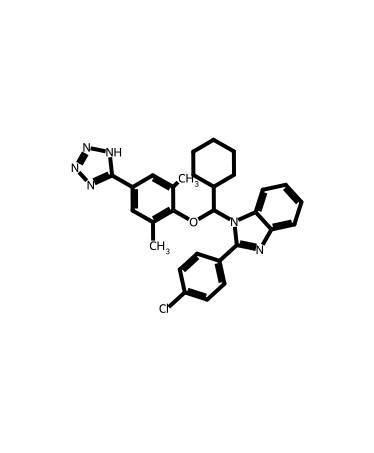 Cc1cc(-c2nnn[nH]2)cc(C)c1OC(C1CCCCC1)n1c(-c2ccc(Cl)cc2)nc2ccccc21